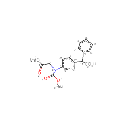 COC(=O)CN(C(=O)OC(C)(C)C)c1ccc(C(C(=O)O)c2ccccc2)cc1